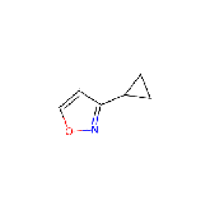 [c]1conc1C1CC1